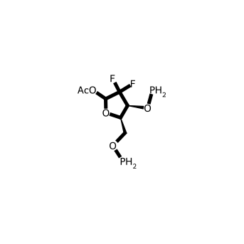 CC(=O)OC1O[C@H](COP)[C@H](OP)C1(F)F